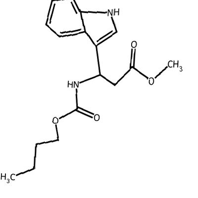 CCCCOC(=O)NC(CC(=O)OC)c1c[nH]c2ccccc12